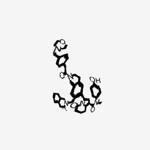 C[C@@H]1Cc2ccccc2CN1C(=O)c1cc2c(cc1-c1cc(C(=O)N(C)c3ccc(O)cc3)c3n1CCCC3)CCN(C(=O)Cc1ccc(CN3CCOCC3)cc1)C2